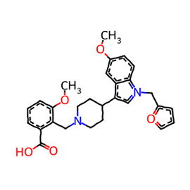 COc1ccc2c(c1)c(C1CCN(Cc3c(OC)cccc3C(=O)O)CC1)cn2Cc1ccco1